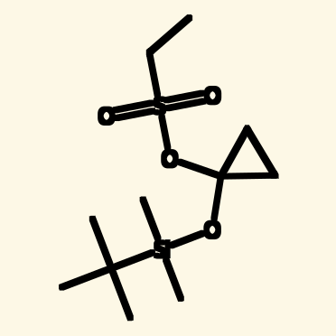 CCS(=O)(=O)OC1(O[Si](C)(C)C(C)(C)C)CC1